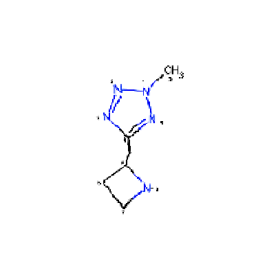 Cn1nnc(C2CC[N]2)n1